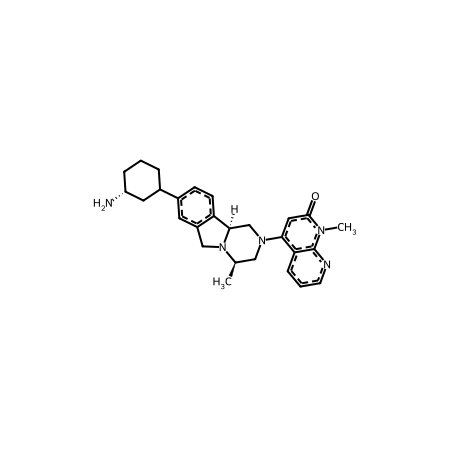 C[C@@H]1CN(c2cc(=O)n(C)c3ncccc23)C[C@@H]2c3ccc(C4CCC[C@@H](N)C4)cc3CN12